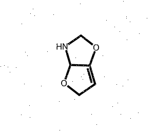 C1=C2OCNC2OC1